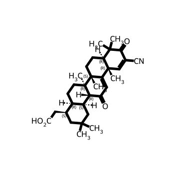 CC1(C)C[C@@H](CC(=O)O)[C@H]2CC[C@]3(C)[C@H](C(=O)C=C4[C@@]5(C)C=C(C#N)C(=O)C(C)(C)[C@@H]5CC[C@]43C)[C@H]2C1